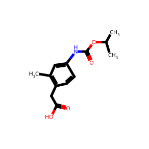 Cc1cc(NC(=O)OC(C)C)ccc1CC(=O)O